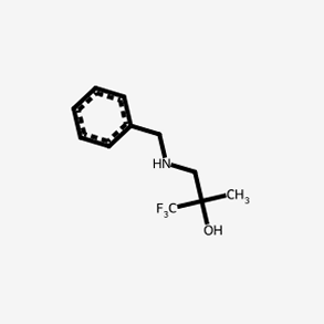 CC(O)(CNCc1ccccc1)C(F)(F)F